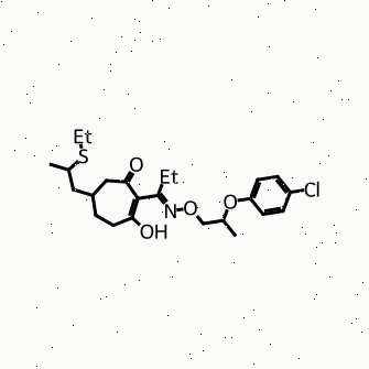 CCSC(C)CC1CCC(O)=C(/C(CC)=N/OCC(C)Oc2ccc(Cl)cc2)C(=O)C1